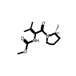 COC(=O)NC(C(=O)N1CCC[C@H]1I)=C(C)C